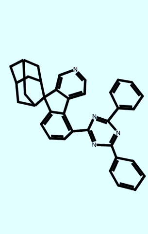 c1ccc(-c2nc(-c3ccccc3)nc(-c3cccc4c3-c3ccncc3C43C4CC5CC(C4)CC3C5)n2)cc1